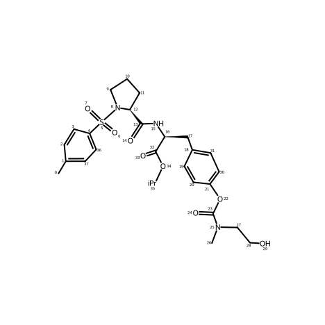 Cc1ccc(S(=O)(=O)N2CCC[C@H]2C(=O)N[C@@H](Cc2ccc(OC(=O)N(C)CCO)cc2)C(=O)OC(C)C)cc1